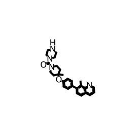 Cc1c(-c2ccc(OC3(C)CCN(C(=O)N4CCNCC4)CC3)cc2)ccc2cccnc12